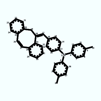 Cc1ccc(N(c2ccc(C)cc2)c2ccc(/C=C3/Cc4ccccc4/C=C\c4ccccc43)cc2)cc1